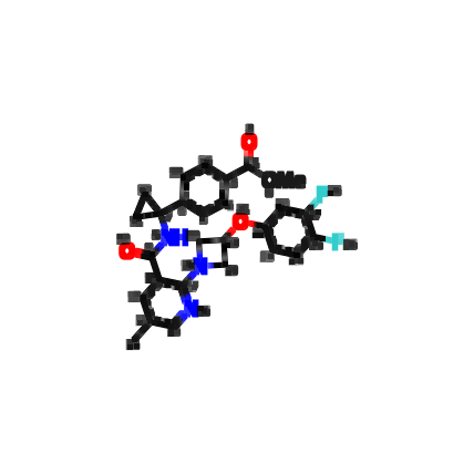 COC(=O)c1ccc(C2(NC(=O)c3cc(C)cnc3N3CC(Oc4ccc(F)c(F)c4)C3)CC2)cc1